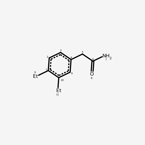 CCc1ccc(CC(N)=O)cc1CC